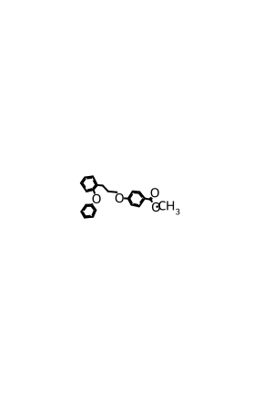 COC(=O)c1ccc(OCCCc2ccccc2Oc2ccccc2)cc1